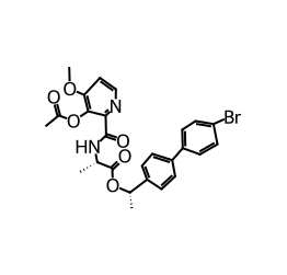 COc1ccnc(C(=O)N[C@@H](C)C(=O)O[C@@H](C)c2ccc(-c3ccc(Br)cc3)cc2)c1OC(C)=O